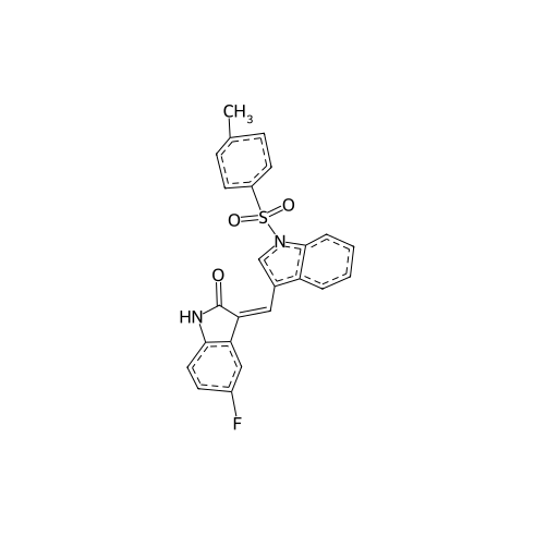 Cc1ccc(S(=O)(=O)n2cc(C=C3C(=O)Nc4ccc(F)cc43)c3ccccc32)cc1